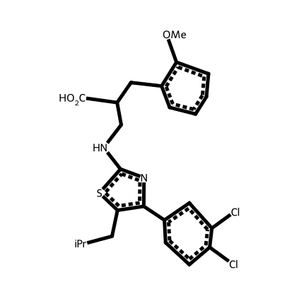 COc1ccccc1CC(CNc1nc(-c2ccc(Cl)c(Cl)c2)c(CC(C)C)s1)C(=O)O